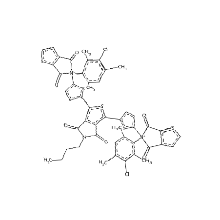 CCCCN1C(=O)c2c(-c3ccc([N+]4(c5c(C)cc(C)c(Cl)c5C)C(=O)c5ccsc5C4=O)s3)sc(-c3ccc([N+]4(c5c(C)cc(C)c(Cl)c5C)C(=O)c5ccsc5C4=O)s3)c2C1=O